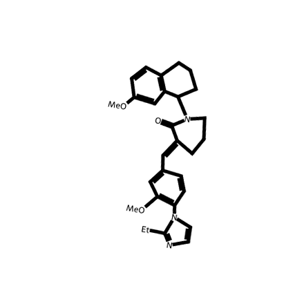 CCc1nccn1-c1ccc(/C=C2\CCCN(C3CCCc4ccc(OC)cc43)C2=O)cc1OC